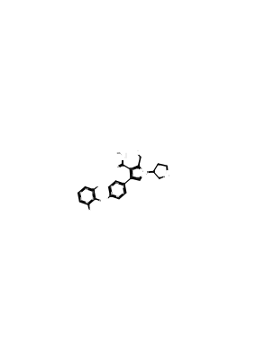 CC(C)(C)NC(=O)c1c(-c2ccc(Oc3c(F)cccc3F)cc2)cn(C2CCNC2)c1CO